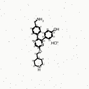 Cl.NCc1ccc(-c2ncc(OCC3CCNCC3)nc2-c2ccc(O)cc2)cc1